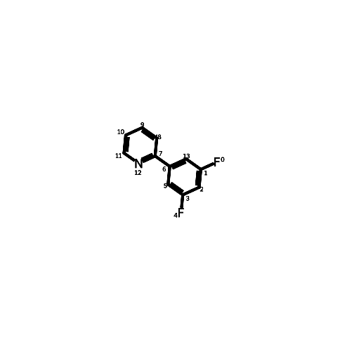 Fc1cc(F)cc(-c2[c]cccn2)c1